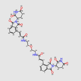 O=C(/C=C/c1cccc2c1C(=O)N(C1CCC(=O)NC1=O)C2=O)NCCOCCNC(=O)/C=C/c1cccc2c1C(=O)N(C1CCC(=O)NC1=O)C2=O